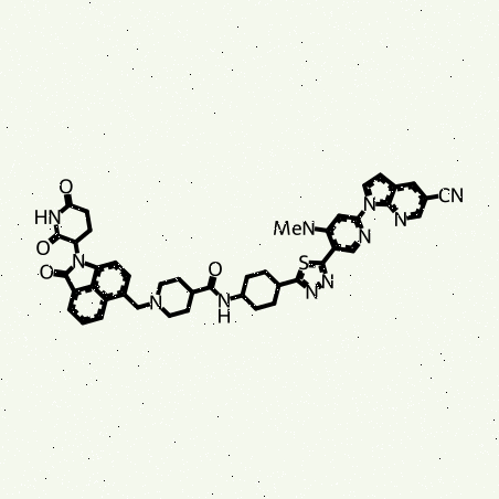 CNc1cc(-n2ccc3cc(C#N)cnc32)ncc1-c1nnc(C2CCC(NC(=O)C3CCN(Cc4ccc5c6c(cccc46)C(=O)N5C4CCC(=O)NC4=O)CC3)CC2)s1